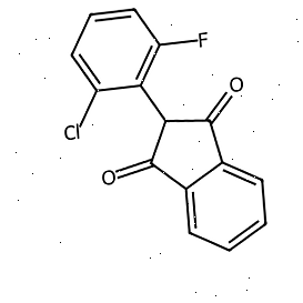 O=C1c2ccccc2C(=O)C1c1c(F)cccc1Cl